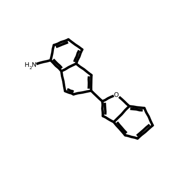 Nc1cccc2cc(-c3cc4ccccc4o3)ccc12